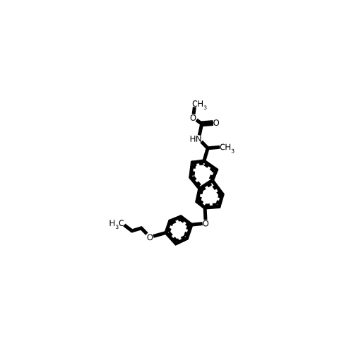 CCCOc1ccc(Oc2ccc3cc(C(C)NC(=O)OC)ccc3c2)cc1